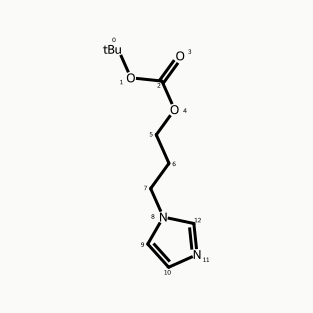 CC(C)(C)OC(=O)OCCCn1ccnc1